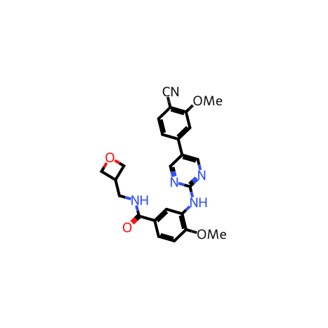 COc1cc(-c2cnc(Nc3cc(C(=O)NCC4COC4)ccc3OC)nc2)ccc1C#N